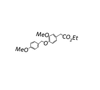 CCOC(=O)Cc1ccc(OCc2ccc(OC)cc2)c(OC)c1